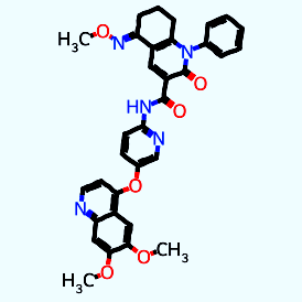 CON=C1CCCc2c1cc(C(=O)Nc1ccc(Oc3ccnc4cc(OC)c(OC)cc34)cn1)c(=O)n2-c1ccccc1